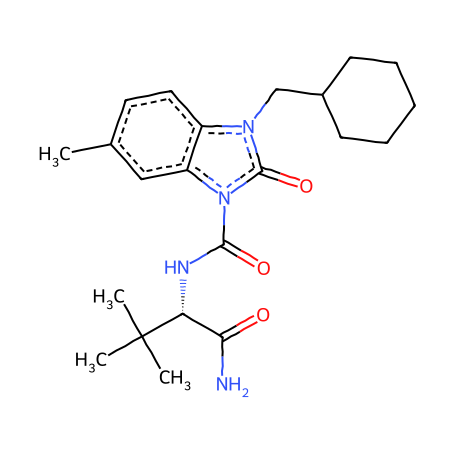 Cc1ccc2c(c1)n(C(=O)N[C@H](C(N)=O)C(C)(C)C)c(=O)n2CC1CCCCC1